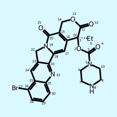 CC[C@@]1(OC(=O)N2CCNCC2)C(=O)OCc2c1cc1n(c2=O)Cc2cc3c(Br)cccc3nc2-1